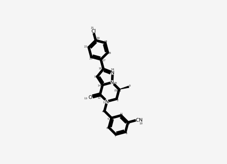 C[C@H]1CN(Cc2cccc(C#N)c2)C(=O)c2cc(-c3ccc(Cl)cc3)nn21